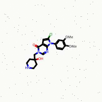 COc1ccc(-n2c(Cl)cc3c(=O)n(CC4(O)CCNCC4)cnc32)cc1OC